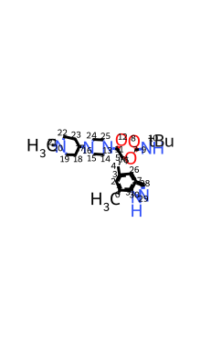 Cc1cc(C[C@@H](OC(=O)NC(C)(C)C)C(=O)N2CCN(C3CCN(C)CC3)CC2)cc2cn[nH]c12